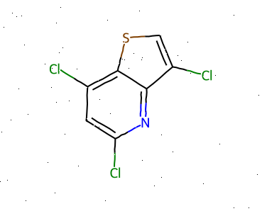 Clc1cc(Cl)c2scc(Cl)c2n1